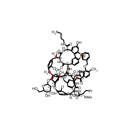 CN[C@@H](CC(C)C)C(=O)N[C@H]1C(=O)N[C@@H](CC(N)=O)C(=O)NC2C(=O)N[C@@H]3C(=O)N[C@@H](C(=O)N[C@@H](C(=O)NCCCN)c4cc(O)cc(O)c4-c4cc3ccc4O)[C@H](O)c3ccc(c(Cl)c3)Oc3cc2cc(c3OC2OC(CO)[C@@H](O)[C@@H](O)[C@H]2O[C@H]2CC(C)(NCc3cccc(NC(=O)c4ccc(C)c(OCc5ccccc5)c4[N+](=O)[O-])c3)[C@@H](O)[C@@H](C)O2)Oc2ccc(cc2Cl)[C@H]1O